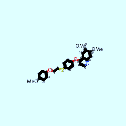 COc1ccc(OCCSc2ccc(Oc3ccnc4cc(OC)c(OC)cc34)cc2)cc1